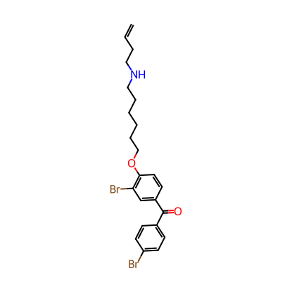 C=CCCNCCCCCCOc1ccc(C(=O)c2ccc(Br)cc2)cc1Br